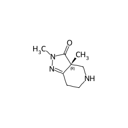 CN1N=C2CCNC[C@@]2(C)C1=O